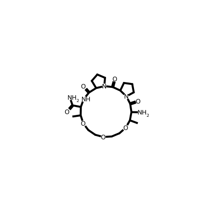 CC1OCCOCCOC(C)C(C(N)=O)NC(=O)C2CCCN2C(=O)C2CCCN2C(=O)C1N